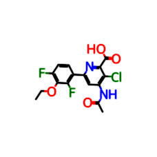 CCOc1c(F)ccc(-c2cc(NC(C)=O)c(Cl)c(C(=O)O)n2)c1F